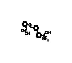 CC(N)(CO)c1cccc(-c2cccc(COc3ccccc3CC(=O)O)c2)c1